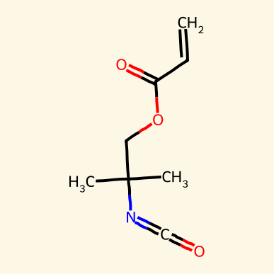 C=CC(=O)OCC(C)(C)N=C=O